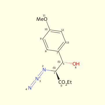 CCOC(=O)[C@@H](N=[N+]=[N-])[C@@H](O)c1ccc(OC)cc1